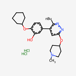 CCCCc1nnc(OC2CCN(C)CC2)cc1-c1ccc(OC2CCCCC2)c(O)c1.Cl.Cl